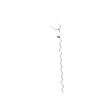 CCCCCCCCCCCCCCCCCC(=O)NC(CC)CNC